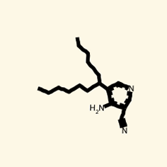 CCCCCCC(CCCCC)c1cncc(C#N)c1N